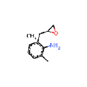 C.Cc1cccc(CC2CO2)c1N